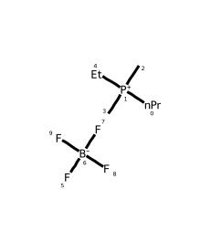 CCC[P+](C)(C)CC.F[B-](F)(F)F